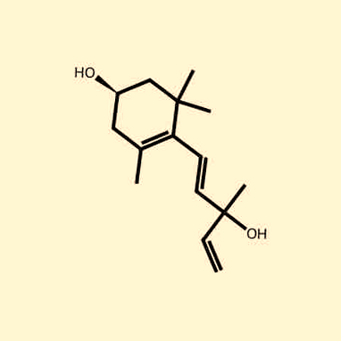 C=CC(C)(O)/C=C/C1=C(C)C[C@@H](O)CC1(C)C